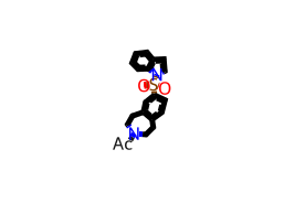 CC(=O)N1CCc2ccc(S(=O)(=O)n3ccc4ccccc43)cc2CC1